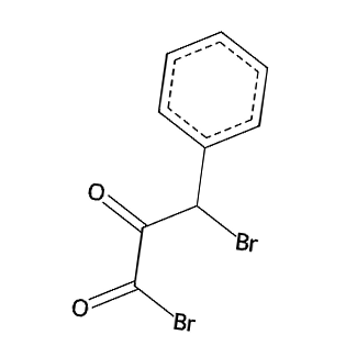 O=C(Br)C(=O)C(Br)c1ccccc1